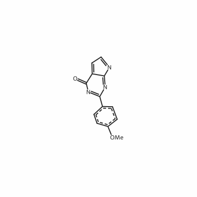 COc1ccc(C2=NC(=O)C3=CC=NC3=N2)cc1